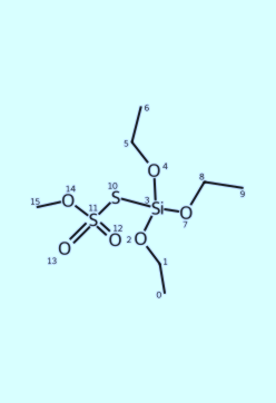 CCO[Si](OCC)(OCC)SS(=O)(=O)OC